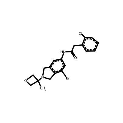 CC1(N2Cc3cc(NC(=O)Cc4ccccc4Cl)cc(Br)c3C2)COC1